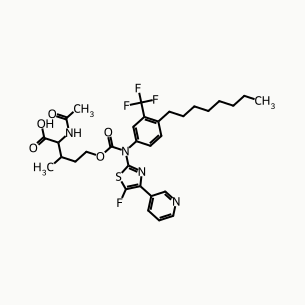 CCCCCCCCc1ccc(N(C(=O)OCCC(C)C(NC(C)=O)C(=O)O)c2nc(-c3cccnc3)c(F)s2)cc1C(F)(F)F